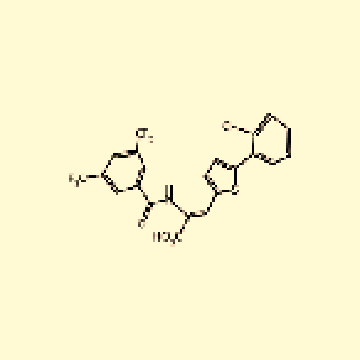 O=C(O)C(=Cc1ccc(-c2ccccc2Cl)s1)NC(=O)c1cc(C(F)(F)F)cc(C(F)(F)F)c1